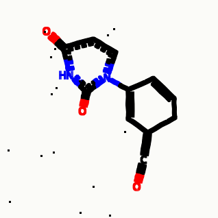 O=C=C1C=C(n2ccc(=O)[nH]c2=O)C=CC1